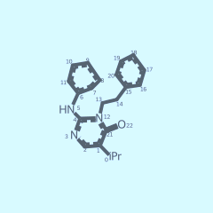 CC(C)c1cnc(Nc2ccccc2)n(CCc2ccccc2)c1=O